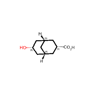 O=C(O)[C@@H]1C[C@@H]2C[C@H](O)C[C@@H](C2)C1